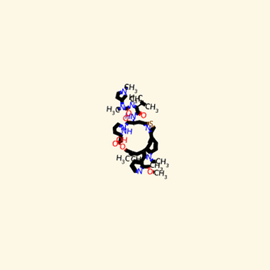 CCn1c(-c2cccnc2[C@H](C)OC)c2c3cc(ccc31)-c1csc(n1)C[C@H](NC(=O)[C@H](C(C)C)N(C)C(=O)N(C)C1CCN(C)C1)C(=O)N1CCC[C@@](O)(N1)C(=O)OCC(C)(C)C2